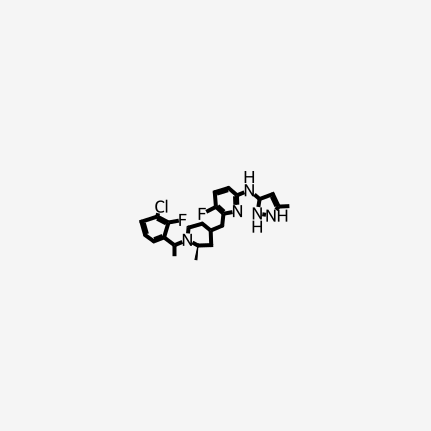 CC1=CC(Nc2ccc(F)c(CC3CCN(C(C)c4cccc(Cl)c4F)[C@H](C)C3)n2)NN1